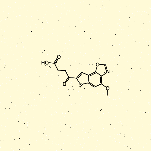 COc1cc2sc(C(=O)CCC(=O)O)cc2c2ocnc12